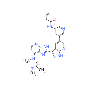 C=N/C(C)=C\N(C)c1ccnc2[nH]c(-c3n[nH]c4ncc(-c5cncc(NC(=O)CC(C)C)c5)cc34)nc12